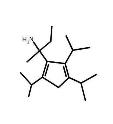 CCC(C)(N)C1=C(C(C)C)CC(C(C)C)=C1C(C)C